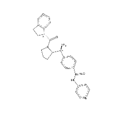 N[C@@H](c1ccc(C(=O)Nc2ccncc2)cc1)C1CCCN1C(=O)[C@@H]1CCc2ccccc21